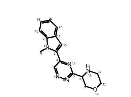 Cn1c(-c2cnnc(C3COCCN3)n2)cc2ccccc21